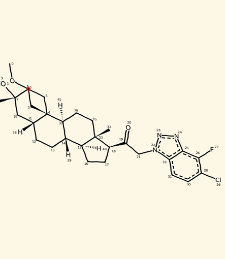 COCC[C@]12CC[C@@](C)(O)C[C@H]1CC[C@H]1[C@@H]3CC[C@H](C(=O)Cn4nnc5c(F)c(Cl)ccc54)[C@@]3(C)CC[C@@H]12